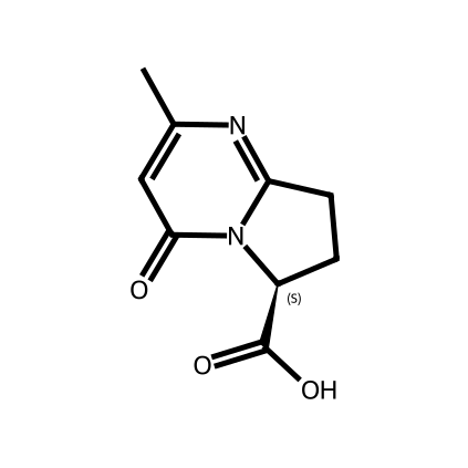 Cc1cc(=O)n2c(n1)CC[C@H]2C(=O)O